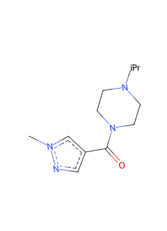 CC(C)N1CCN(C(=O)c2cnn(C)c2)CC1